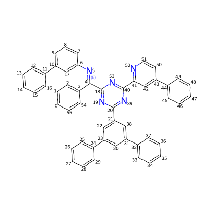 c1ccc(/C(=N\c2cccc(-c3ccccc3)c2)c2nc(-c3cc(-c4ccccc4)cc(-c4ccccc4)c3)nc(-c3cc(-c4ccccc4)ccn3)n2)cc1